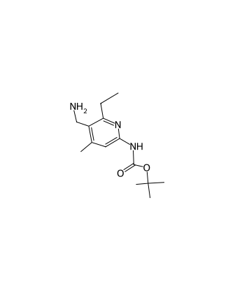 CCc1nc(NC(=O)OC(C)(C)C)cc(C)c1CN